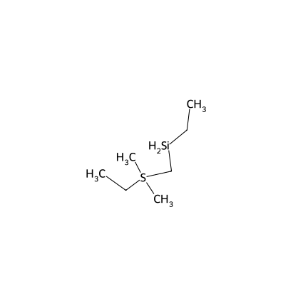 CC[SiH2]CS(C)(C)CC